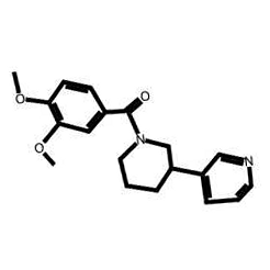 COc1ccc(C(=O)N2CCCC(c3cccnc3)C2)cc1OC